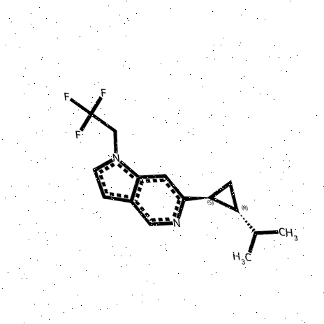 CC(C)[C@H]1C[C@@H]1c1cc2c(ccn2CC(F)(F)F)cn1